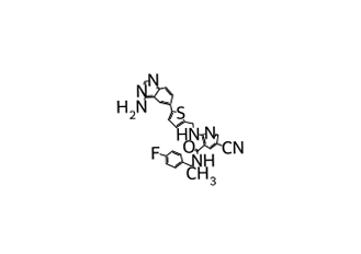 C[C@H](NC(=O)c1cc(C#N)cnc1NCc1ccc(-c2ccc3ncnc(N)c3c2)s1)c1ccc(F)cc1